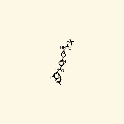 Cc1cn2cc(NC(=O)c3cnc(N4CC5C(C4)C5NC(=O)OC(C)(C)C)cn3)cc(F)c2n1